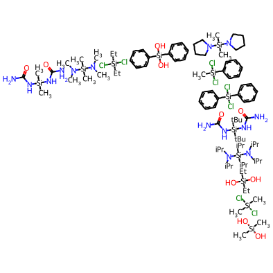 CC(C)(C)[Si](NC(N)=O)(NC(N)=O)C(C)(C)C.CC(C)N(C(C)C)[Si](C(C)C)(C(C)C)N(C(C)C)C(C)C.CC[Si](Cl)(Cl)CC.CC[Si](O)(O)CC.CN(C)[Si](C)(C)N(C)C.C[Si](C)(Cl)Cl.C[Si](C)(N1CCCC1)N1CCCC1.C[Si](C)(NC(N)=O)NC(N)=O.C[Si](C)(O)O.C[Si](Cl)(Cl)c1ccccc1.Cl[Si](Cl)(c1ccccc1)c1ccccc1.O[Si](O)(c1ccccc1)c1ccccc1